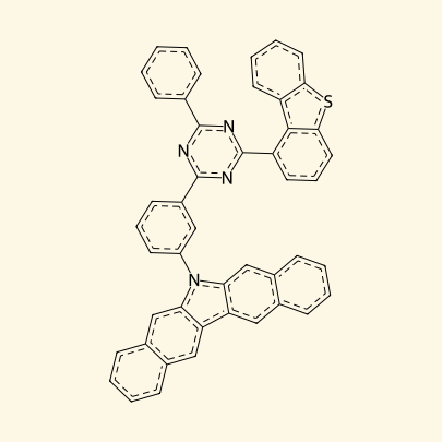 c1ccc(-c2nc(-c3cccc(-n4c5cc6ccccc6cc5c5cc6ccccc6cc54)c3)nc(-c3cccc4sc5ccccc5c34)n2)cc1